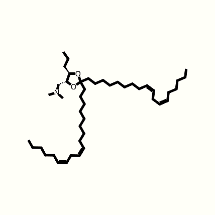 CCCCC/C=C\C/C=C\CCCCCCCCC1(CCCCCCCC/C=C\C/C=C\CCCCC)O[C@H](CCC)[C@@H](CN(C)C)O1